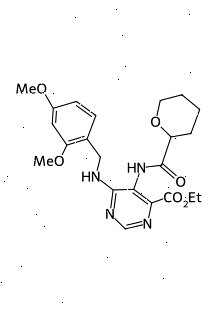 CCOC(=O)c1ncnc(NCc2ccc(OC)cc2OC)c1NC(=O)C1CCCCO1